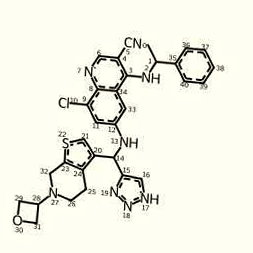 CC(Nc1c(C#N)cnc2c(Cl)cc(NC(c3c[nH]nn3)c3csc4c3CCN(C3COC3)C4)cc12)c1ccccc1